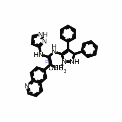 C/C(=C(\NC1=C(c2ccccc2)C(c2ccccc2)NN1C=O)Nc1cc[nH]n1)c1ccc2ncccc2c1